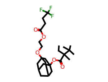 CCC(C)(C(=O)OC12CC3CC(CC(OCCOC(=O)CCC(F)(F)F)(C3)C1)C2)C(C)(C)C